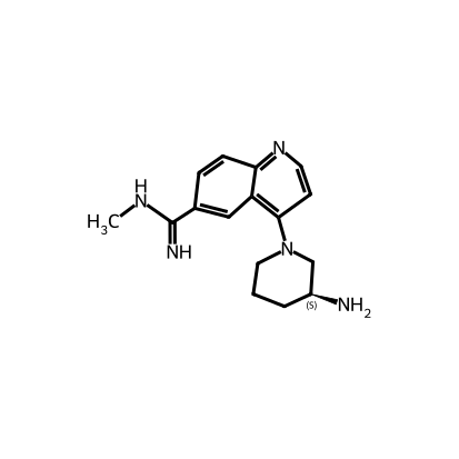 CNC(=N)c1ccc2nccc(N3CCC[C@H](N)C3)c2c1